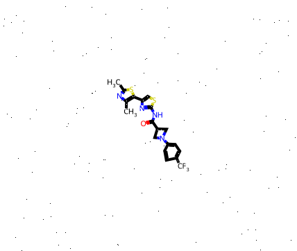 Cc1nc(C)c(-c2csc(NC(=O)C3CN(c4ccc(C(F)(F)F)cc4)C3)n2)s1